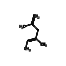 C=C(C)CC(C)=CC